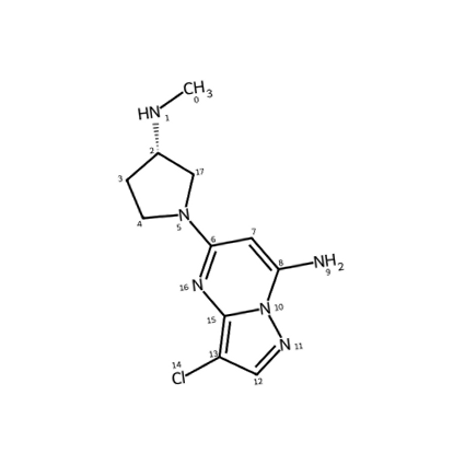 CN[C@H]1CCN(c2cc(N)n3ncc(Cl)c3n2)C1